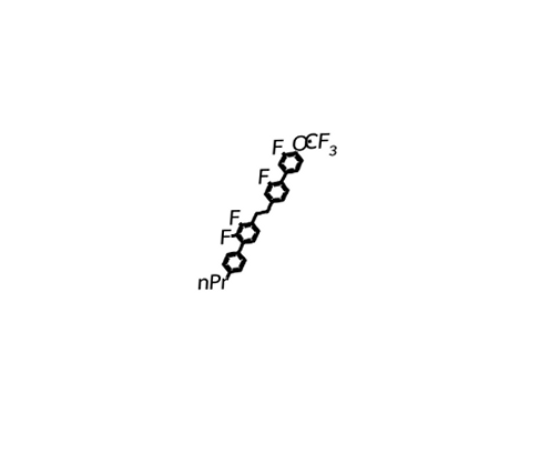 CCCc1ccc(-c2ccc(CCc3ccc(-c4ccc(OC(F)(F)F)c(F)c4)c(F)c3)c(F)c2F)cc1